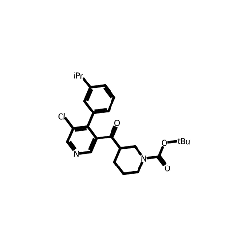 CC(C)c1cccc(-c2c(Cl)cncc2C(=O)C2CCCN(C(=O)OC(C)(C)C)C2)c1